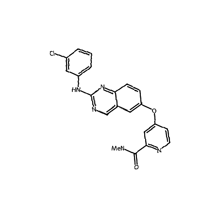 CNC(=O)c1cc(Oc2ccc3nc(Nc4cccc(Cl)c4)ncc3c2)ccn1